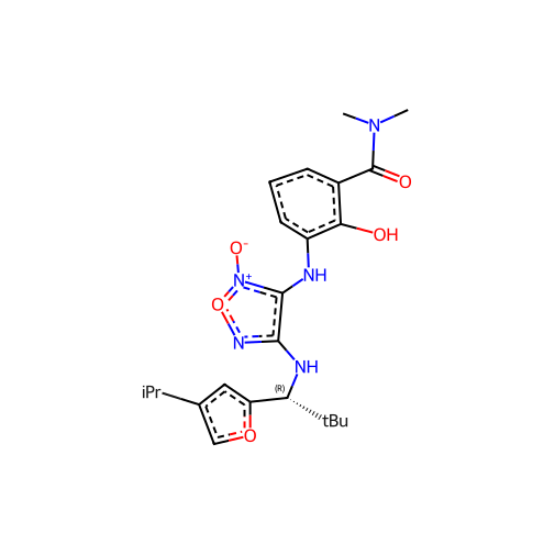 CC(C)c1coc([C@H](Nc2no[n+]([O-])c2Nc2cccc(C(=O)N(C)C)c2O)C(C)(C)C)c1